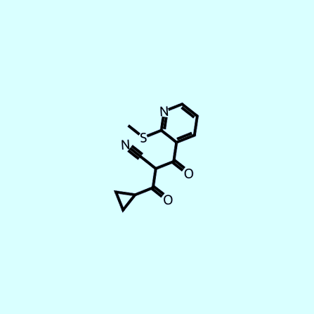 CSc1ncccc1C(=O)C(C#N)C(=O)C1CC1